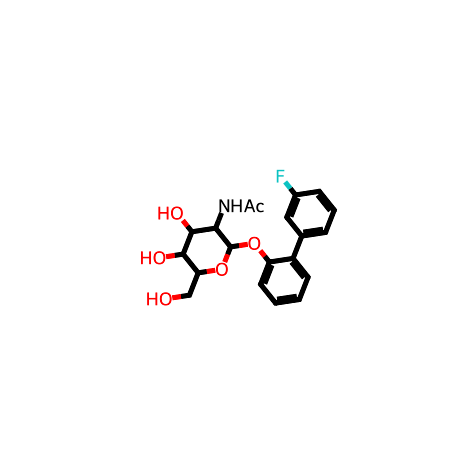 CC(=O)NC1C(Oc2ccccc2-c2cccc(F)c2)OC(CO)C(O)C1O